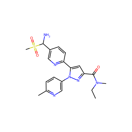 CCN(C)C(=O)c1cc(-c2ccc(C(N)S(C)(=O)=O)cn2)n(-c2ccc(C)nc2)n1